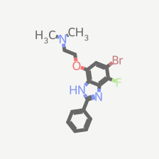 CN(C)CCOc1cc(Br)c(F)c2nc(-c3ccccc3)[nH]c12